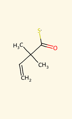 C=CC(C)(C)C(=O)[S]